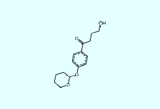 O=C(CCCO)c1ccc(OC2CCCCO2)cc1